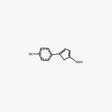 CNC1=CC=C(c2ccc(C#N)cc2)C1